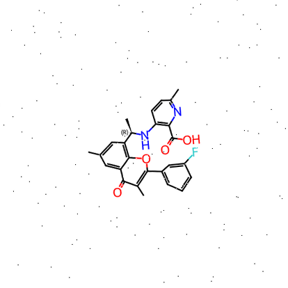 Cc1cc([C@@H](C)Nc2ccc(C)nc2C(=O)O)c2oc(-c3cccc(F)c3)c(C)c(=O)c2c1